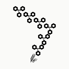 [Cl-].[Cl-].[Cl-].[Cl-].[Pd+2].[Pd+2].c1ccc(P(c2ccccc2)c2ccccc2)cc1.c1ccc(P(c2ccccc2)c2ccccc2)cc1.c1ccc(P(c2ccccc2)c2ccccc2)cc1.c1ccc(P(c2ccccc2)c2ccccc2)cc1.c1ccc(P(c2ccccc2)c2ccccc2)cc1.c1ccc(P(c2ccccc2)c2ccccc2)cc1